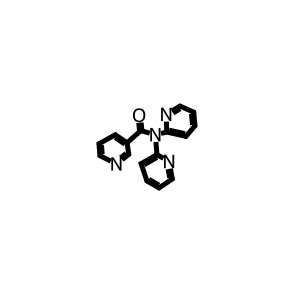 O=C(c1cccnc1)N(c1ccccn1)c1ccccn1